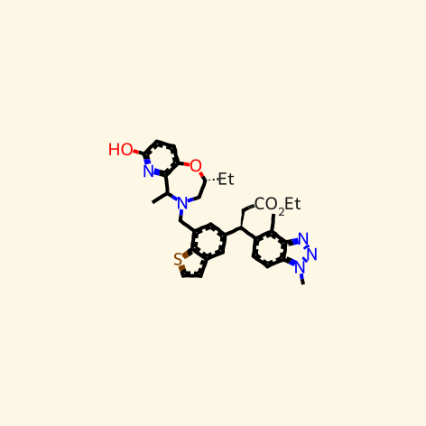 CCOC(=O)C[C@H](c1cc(CN2C[C@@H](CC)Oc3ccc(O)nc3C2C)c2sccc2c1)c1ccc2c(nnn2C)c1C